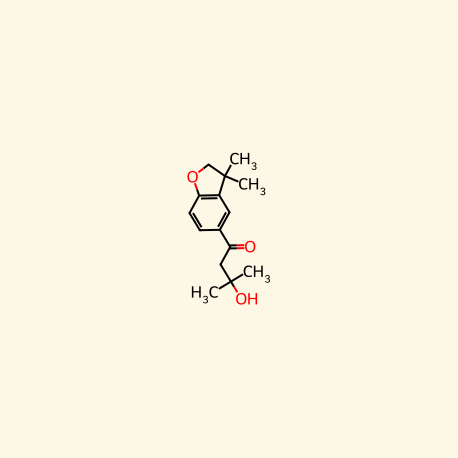 CC(C)(O)CC(=O)c1ccc2c(c1)C(C)(C)CO2